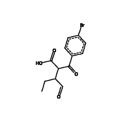 CCC(C=O)C(C(=O)O)C(=O)c1ccc(Br)cc1